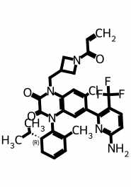 C=CC(=O)N1CC(Cn2c(=O)c(=O)n(C3=C(C)C=CC[C@@H]3C(C)C)c3cc(-c4nc(N)ccc4C(F)(F)F)c(Cl)cc32)C1